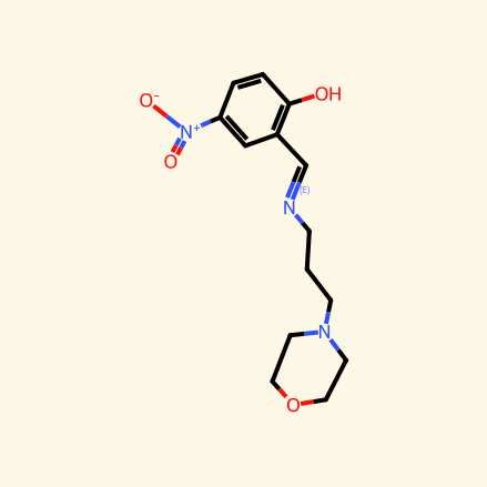 O=[N+]([O-])c1ccc(O)c(/C=N/CCCN2CCOCC2)c1